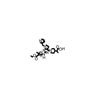 CCOC(=O)c1sc(Nc2nc(N3CCC(C(C)C(=O)O)CC3)c3c(n2)N(Cc2cccnc2)CC3)nc1C